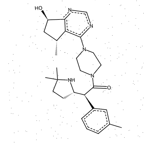 Cc1cccc([C@H](C(=O)N2CCN(c3ncnc4c3[C@H](C)C[C@H]4O)CC2)[C@@H]2CCC(C)(C)N2)c1